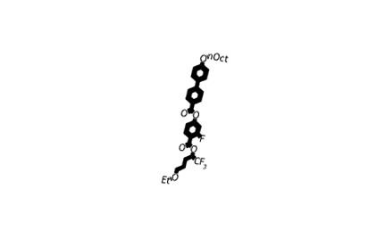 CCCCCCCCOc1ccc(-c2ccc(C(=O)Oc3ccc(C(=O)OC(CCCOCC)C(F)(F)F)c(F)c3)cc2)cc1